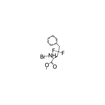 COC(=O)[C@H](CC(F)(F)Cc1ccccc1)NBr